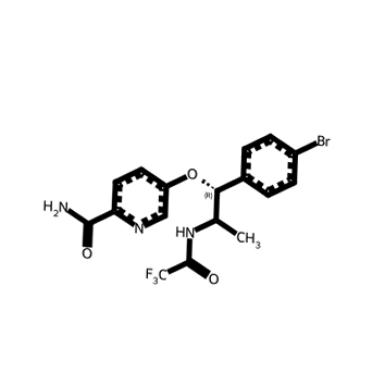 CC(NC(=O)C(F)(F)F)[C@H](Oc1ccc(C(N)=O)nc1)c1ccc(Br)cc1